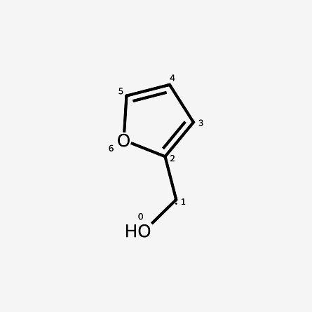 O[CH]c1ccco1